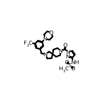 CS(=O)(=O)Nc1ccn(C(=O)N2CCC3(CCN(Cc4cc(N5CCOCC5)cc(C(F)(F)F)c4)C3)CC2)n1